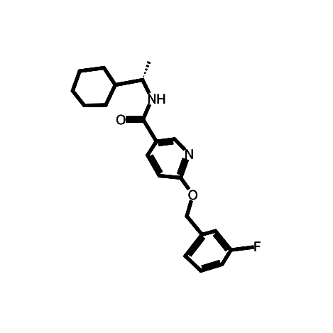 C[C@H](NC(=O)c1ccc(OCc2cccc(F)c2)nc1)C1CCCCC1